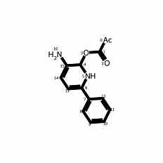 CC(=O)C(=O)OC1NC(c2ccccc2)=CC=C1N